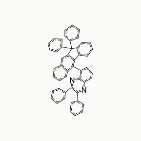 c1ccc(-c2nc3cccc(-c4c5c(cc6ccccc46)C(c4ccccc4)(c4ccccc4)c4ccccc4-5)c3nc2-c2ccccc2)cc1